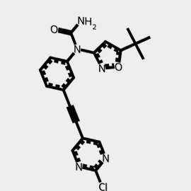 CC(C)(C)c1cc(N(C(N)=O)c2cccc(C#Cc3cnc(Cl)nc3)c2)no1